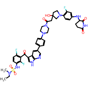 CCN(C)S(=O)(=O)Nc1ccc(F)c(C(=O)c2c[nH]c3ncc(-c4ccc(N5CCN(C(=O)CC6(O)CCN(c7ccc(NC8CCC(=O)NC8=O)cc7F)C6)CC5)cc4)cc23)c1F